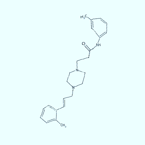 Cc1cccc(NC(=O)CCN2CCN(C/C=C/c3ccccc3C)CC2)c1